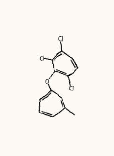 Cc1cccc(Oc2c(Cl)ccc(Cl)c2Cl)c1